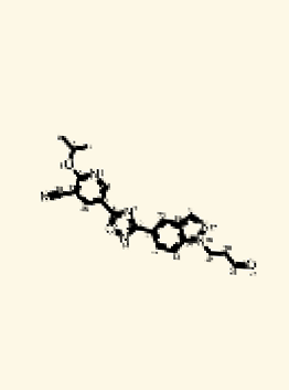 CC(C)Oc1ncc(-c2nc(-c3ccc4c(cnn4CCC=O)c3)no2)cc1C#N